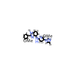 COc1cccc(-c2nc3c(Nc4ccc(-n5cnc(C)c5)c(OC)n4)cccc3n2C)c1